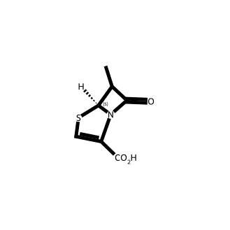 CC1C(=O)N2C(C(=O)O)=CS[C@@H]12